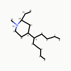 CCCCC(CCCC)C1CCN(C)C(CC)C1